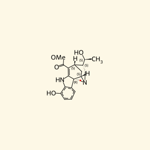 COC(=O)C1=C2Nc3c(O)cccc3[C@@]23CCN2C[C@@H]([C@H](C)O)[C@@H]1C[C@H]23